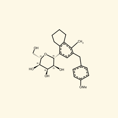 COc1ccc(Cc2cc([C@H]3O[C@@H](CO)[C@H](O)[C@H](O)[C@@H]3O)c3c(c2C)CCCC3)cc1